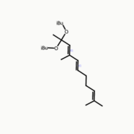 CCC(C)OC(C)(/C=C(C)/C=C/CCC=C(C)C)OC(C)CC